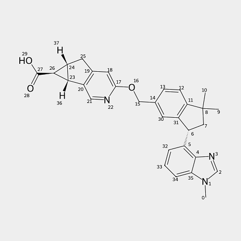 Cn1cnc2c([C@H]3CC(C)(C)c4ccc(COc5cc6c(cn5)[C@H]5[C@@H](C6)[C@@H]5C(=O)O)cc43)cccc21